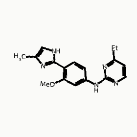 CCc1ccnc(Nc2ccc(-c3nc(C)c[nH]3)c(OC)c2)n1